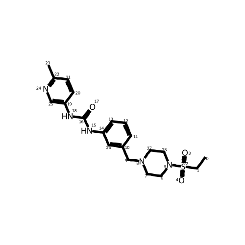 CCS(=O)(=O)N1CCN(Cc2cccc(NC(=O)Nc3ccc(C)nc3)c2)CC1